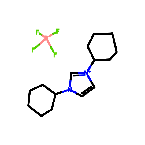 F[B-](F)(F)F.c1c[n+](C2CCCCC2)cn1C1CCCCC1